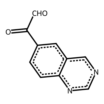 O=CC(=O)c1ccc2ncncc2c1